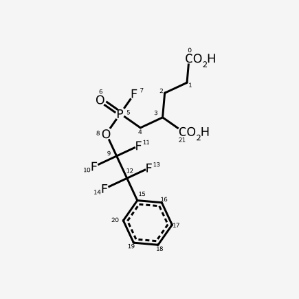 O=C(O)CCC(CP(=O)(F)OC(F)(F)C(F)(F)c1ccccc1)C(=O)O